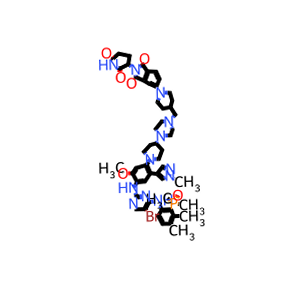 COc1cc(N2CCC(N3CCN(CC4CCN(c5ccc6c(c5)C(=O)N(C5CCC(=O)NC5=O)C6=O)CC4)CC3)CC2)c(-c2cnn(C)c2)cc1Nc1ncc(Br)c(Nc2ccc(C)c(C)c2P(C)(C)=O)n1